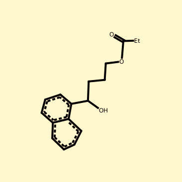 CCC(=O)OCCCC(O)c1cccc2ccccc12